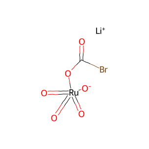 O=C(Br)[O][Ru](=[O])(=[O])(=[O])[O-].[Li+]